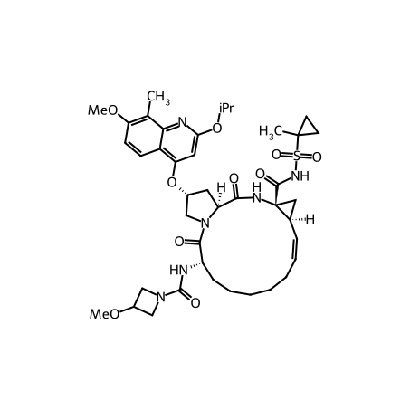 COc1ccc2c(O[C@@H]3C[C@H]4C(=O)N[C@]5(C(=O)NS(=O)(=O)C6(C)CC6)C[C@H]5/C=C\CCCCC[C@H](NC(=O)N5CC(OC)C5)C(=O)N4C3)cc(OC(C)C)nc2c1C